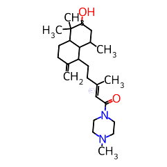 C=C1CCC2C(C(C)CC(O)C2(C)C)C1CC/C(C)=C/C(=O)N1CCN(C)CC1